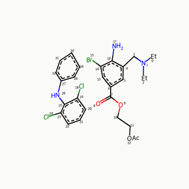 CCN(CC)Cc1cc(C(=O)OCCOC(C)=O)cc(Br)c1N.Clc1cccc(Cl)c1Nc1ccccc1